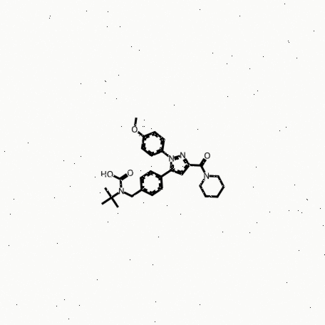 COc1ccc(-n2nc(C(=O)N3CCCCC3)cc2-c2ccc(CN(C(=O)O)C(C)(C)C)cc2)cc1